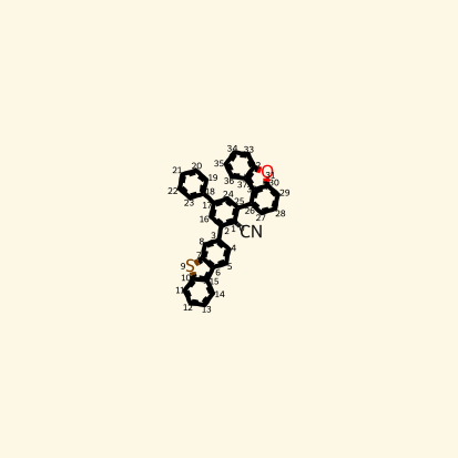 N#Cc1c(-c2ccc3c(c2)sc2ccccc23)cc(-c2ccccc2)cc1-c1cccc2oc3ccccc3c12